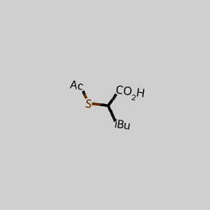 CCC(C)C(SC(C)=O)C(=O)O